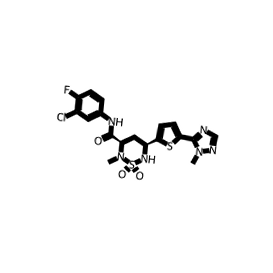 CN1[C@@H](C(=O)Nc2ccc(F)c(Cl)c2)C[C@@H](c2ccc(-c3ncnn3C)s2)NS1(=O)=O